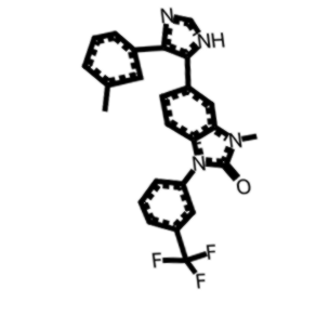 Cc1cccc(-c2nc[nH]c2-c2ccc3c(c2)n(C)c(=O)n3-c2cccc(C(F)(F)F)c2)c1